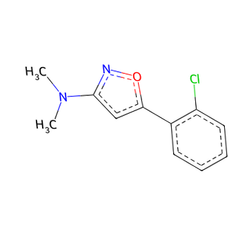 CN(C)c1cc(-c2ccccc2Cl)on1